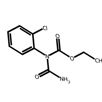 CCOC(=O)N(C(N)=O)c1ccccc1Cl